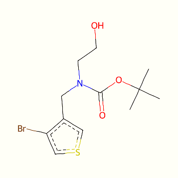 CC(C)(C)OC(=O)N(CCO)Cc1cscc1Br